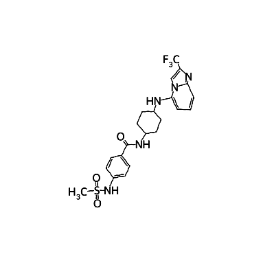 CS(=O)(=O)Nc1ccc(C(=O)NC2CCC(Nc3cccc4nc(C(F)(F)F)cn34)CC2)cc1